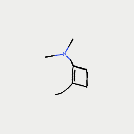 CC1=C(N(C)C)CC1